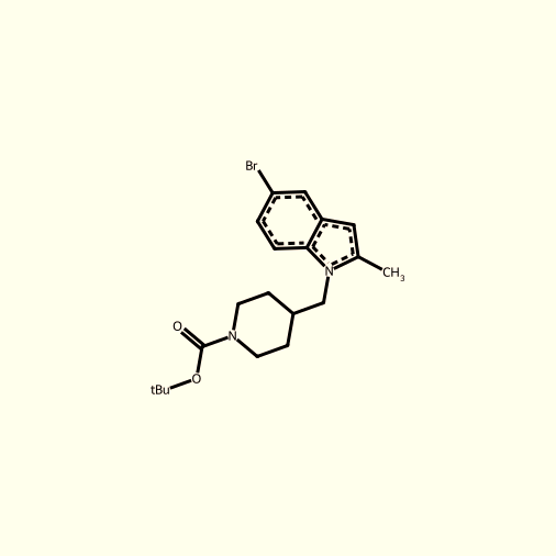 Cc1cc2cc(Br)ccc2n1CC1CCN(C(=O)OC(C)(C)C)CC1